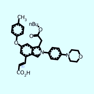 CCCCOC(=O)Cc1c2cc(Oc3ccc(C)cc3)cc(/C=C/C(=O)O)c2cn1-c1ccc(N2CCOCC2)cc1